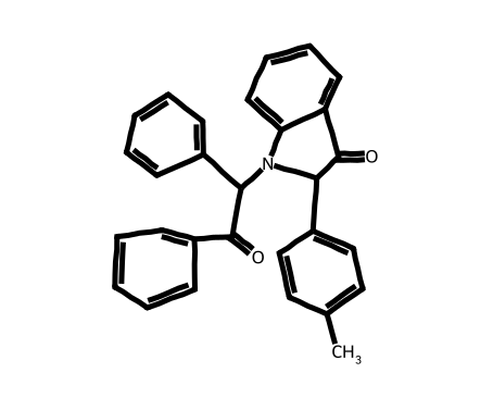 Cc1ccc(C2C(=O)c3ccccc3N2C(C(=O)c2ccccc2)c2ccccc2)cc1